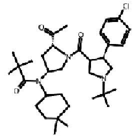 CC(=O)[C@H]1C[C@H](N(C(=O)C(C)(C)C)C2CCC(C)(C)CC2)CN1C(=O)C1CN(C(C)(C)C)C[C@@H]1c1ccc(Cl)cc1